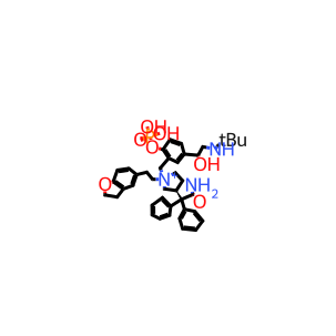 CC(C)(C)NCC(O)c1ccc(OP(=O)(O)O)c(C[N+]2(CCc3ccc4c(c3)CCO4)CC[C@@H](C(C(N)=O)(c3ccccc3)c3ccccc3)C2)c1